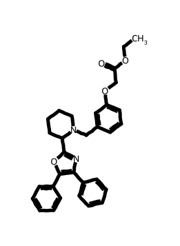 CCOC(=O)COc1cccc(CN2CCCCC2c2nc(-c3ccccc3)c(-c3ccccc3)o2)c1